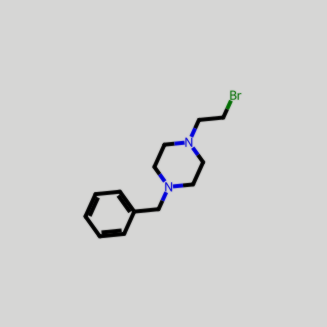 BrCCN1CCN(Cc2ccccc2)CC1